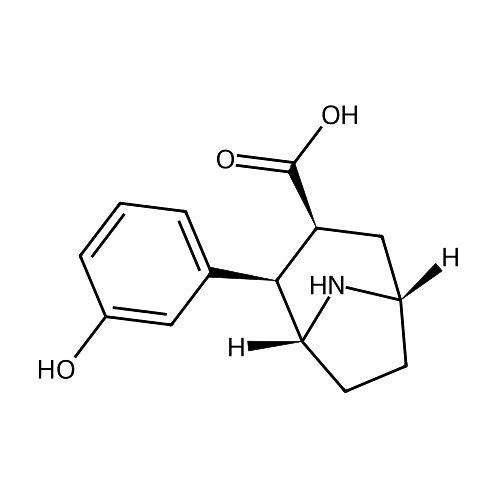 O=C(O)[C@H]1C[C@@H]2CC[C@@H](N2)[C@H]1c1cccc(O)c1